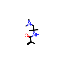 C=C(C)C(=O)NC(C)(C)CN(C)C